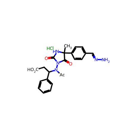 CC(=O)N(C(CC(=O)O)c1ccccc1)N1C(=O)NC(C)(c2ccc(C=NN)cc2)C1=O.Cl